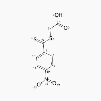 O=C(O)CSC(=S)c1ccc([N+](=O)[O-])cc1